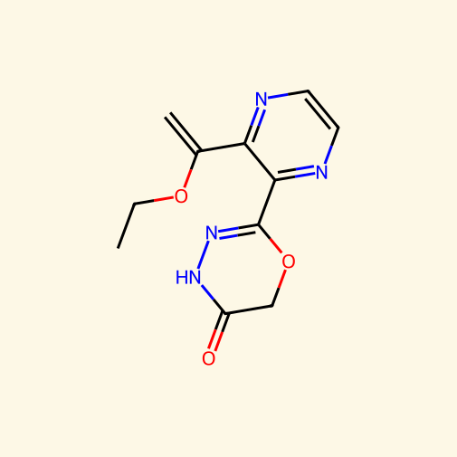 C=C(OCC)c1nccnc1C1=NNC(=O)CO1